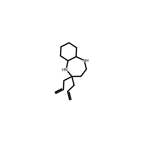 C=CCC1(CC=C)CCNC2CCCCC2N1